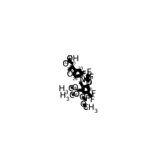 COCOc1c(C(F)(F)F)ccc(CN(C(=O)C(F)(F)F)c2ccc3c(c2)OC[C@H]3CC(=O)O)c1C(OC)OC